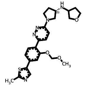 COCOc1cc(-c2cnc(C)s2)ccc1-c1ccc(N2CC[C@H](NC3CCOC3)C2)nn1